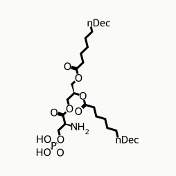 CCCCCCCCCCCCCCCC(=O)OC[C@H](COC(=O)[C@@H](N)COP(=O)(O)O)OC(=O)CCCCCCCCCCCCCCC